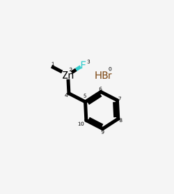 Br.[CH3][Zn]([F])[CH2]c1ccccc1